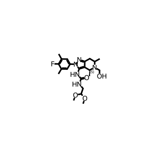 COC(CNC(=O)Nc1c2c(nn1-c1cc(C)c(F)c(C)c1)CC(C)N(CO)[C@H]2C)OC